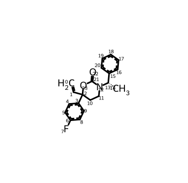 C=CC1(c2ccc(F)cc2)CCN([C@@H](C)c2ccccc2)C(=O)O1